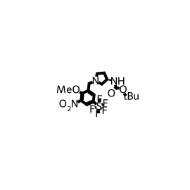 COc1c(CN2CC[C@@H](NC(=O)OC(C)(C)C)C2)cc(S(F)(F)(F)(F)F)cc1[N+](=O)[O-]